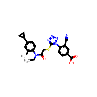 CCN(C(=O)CSc1nnnn1-c1ccc(C(=O)O)cc1C#N)c1ccc(C2CC2)cc1C